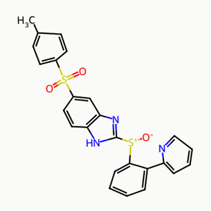 Cc1ccc(S(=O)(=O)c2ccc3[nH]c([S+]([O-])c4ccccc4-c4ccccn4)nc3c2)cc1